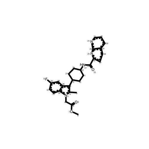 COC(=O)Cn1c(C)c(C2CCC(NC(=O)c3ccc4cccnc4n3)CC2)c2cc(F)ccc21